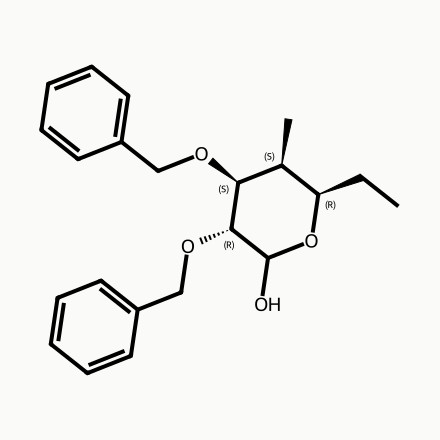 CC[C@H]1OC(O)[C@H](OCc2ccccc2)[C@@H](OCc2ccccc2)[C@H]1C